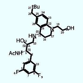 CC(=O)N[C@@H](Cc1cc(F)cc(F)c1)[C@@H](O)CN[C@H]1CCN(CCO)c2ccc(CC(C)(C)C)cc21